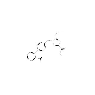 CCC(=O)c1nc(CC)n(Cc2ccc(-c3ccccc3C(=O)O)cc2)n1